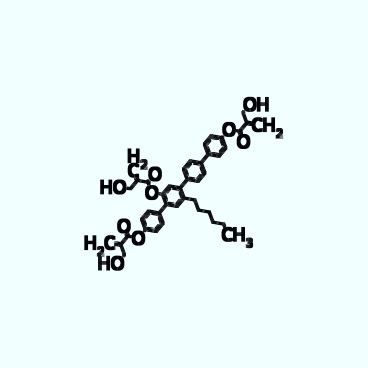 C=C(CO)C(=O)Oc1ccc(-c2ccc(-c3cc(OC(=O)C(=C)CO)c(-c4ccc(OC(=O)C(=C)CO)cc4)cc3CCCCCC)cc2)cc1